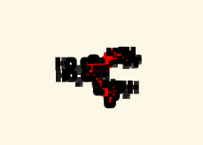 CC(C)CCC[C@@H](C)[C@H]1CC[C@H]2[C@@H]3CC=C4C[C@@H](NCCCNC(=O)[C@H](CCC(=O)O)NC(=O)[C@H](CCC(=O)O)NC(=O)CCSSCCNC(=O)c5ccc(-c6c7ccc(=O)cc-7oc7cc(O)ccc67)c(C(=O)O)c5)CC[C@]4(C)[C@H]3CC[C@]12C